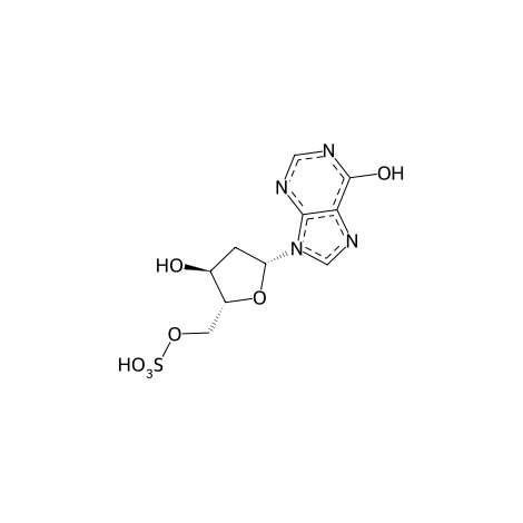 O=S(=O)(O)OC[C@H]1O[C@@H](n2cnc3c(O)ncnc32)C[C@@H]1O